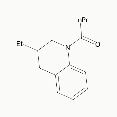 CCCC(=O)N1CC(CC)Cc2ccccc21